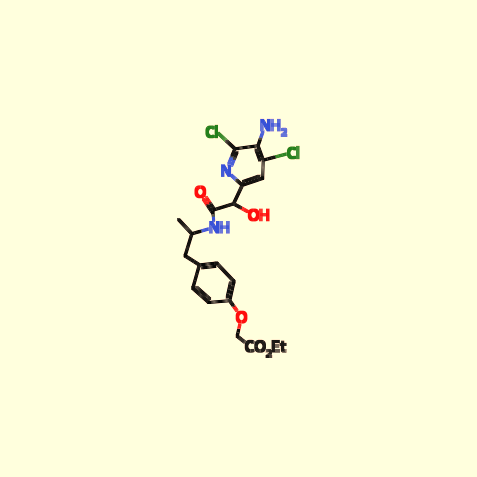 CCOC(=O)COc1ccc(CC(C)NC(=O)C(O)c2cc(Cl)c(N)c(Cl)n2)cc1